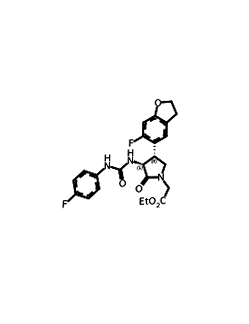 CCOC(=O)CN1C[C@@H](c2cc3c(cc2F)OCC3)[C@H](NC(=O)Nc2ccc(F)cc2)C1=O